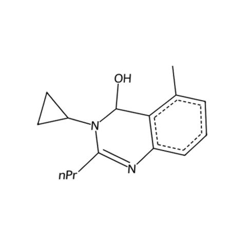 CCCC1=Nc2cccc(C)c2C(O)N1C1CC1